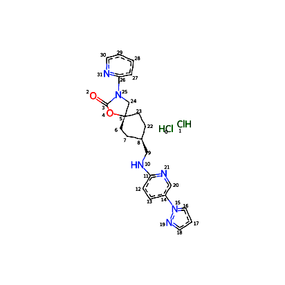 Cl.Cl.O=C1O[C@]2(CC[C@H](CNc3ccc(-n4cccn4)cn3)CC2)CN1c1ccccn1